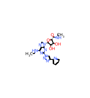 CCNc1nc(-n2cc(-c3ccccn3)nn2)nc2c1ncn2[C@@H]1O[C@H](C(=O)NC)[C@@H](O)[C@H]1O